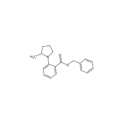 CC1CCCN1c1ccccc1C(=O)OCc1ccccc1